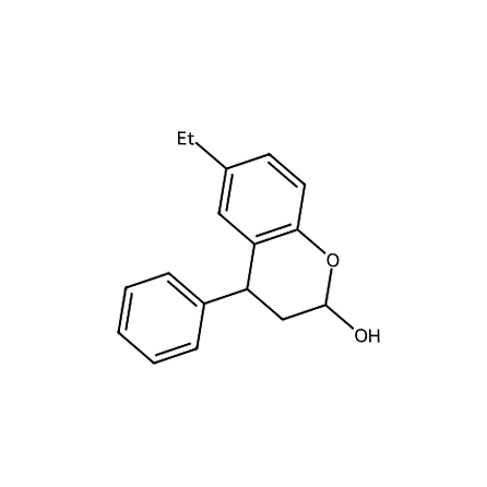 CCc1ccc2c(c1)C(c1ccccc1)CC(O)O2